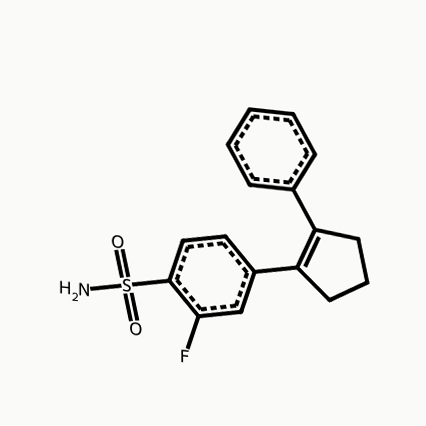 NS(=O)(=O)c1ccc(C2=C(c3ccccc3)CCC2)cc1F